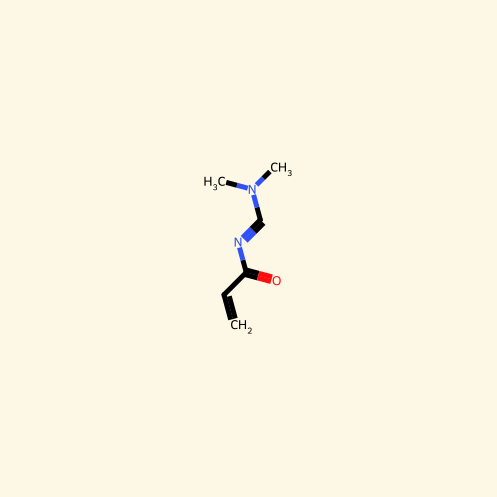 C=CC(=O)N=CN(C)C